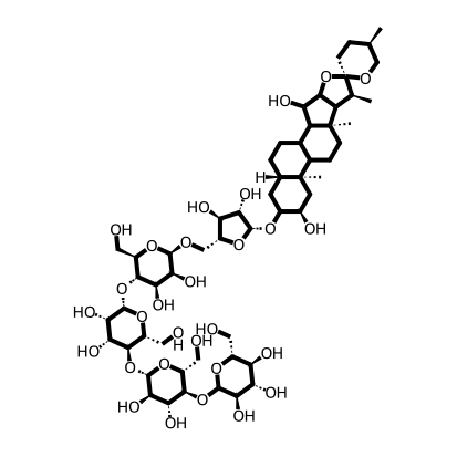 C[C@@H]1CC[C@@]2(OC1)OC1C(O)C3C4CC[C@H]5CC(O[C@@H]6O[C@H](CO[C@@H]7O[C@H](CO)[C@@H](O[C@@H]8O[C@H](CO)[C@@H](O[C@@H]9O[C@H](CO)[C@@H](OC%10O[C@H](CO)[C@@H](O)[C@H](O)[C@H]%10O)[C@H](O)[C@H]9O)[C@H](O)[C@@H]8O)[C@H](O)[C@@H]7O)[C@@H](O)[C@@H]6O)[C@H](O)C[C@]5(C)C4CC[C@]3(C)C1[C@@H]2C